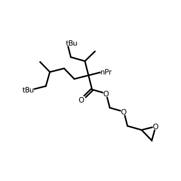 CCCC(CCC(C)CC(C)(C)C)(C(=O)OCOCC1CO1)C(C)CC(C)(C)C